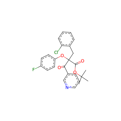 CC(C)(C)OC(=O)C(Cc1ccccc1Cl)(Oc1ccc(F)cc1)C(=O)c1cccnc1